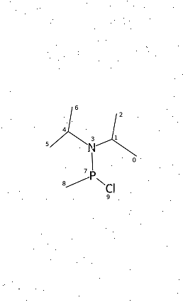 CC(C)N(C(C)C)P(C)Cl